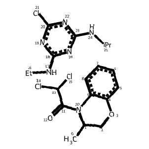 CC1COc2ccccc2N1C(=O)C(Cl)Cl.CCNc1nc(Cl)nc(NC(C)C)n1